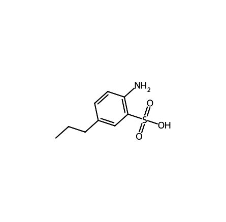 CCCc1ccc(N)c(S(=O)(=O)O)c1